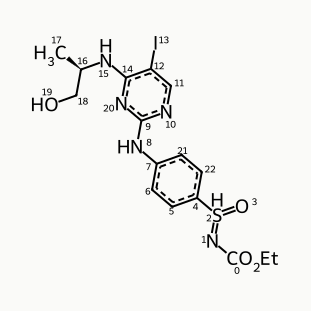 CCOC(=O)/N=[SH](=O)/c1ccc(Nc2ncc(I)c(N[C@H](C)CO)n2)cc1